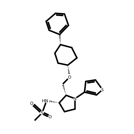 CS(=O)(=O)N[C@H]1CCN(c2ccsc2)[C@H]1CO[C@H]1CC[C@@H](c2ccccc2)CC1